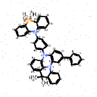 CC1(C)c2ccccc2N2c3cc(-c4ccccc4)ccc3N(c3ccc(N4c5ccccc5[PH](C)(C)c5ccccc54)cc3)c3cccc1c32